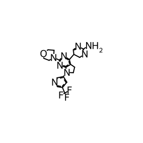 NC1=NCC(c2nc(N3CCOCC3)nc3c2CCN3c2cncc(C(F)(F)F)c2)C=N1